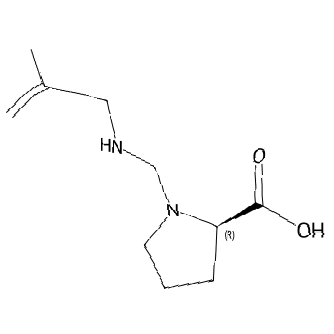 C=C(C)CNCN1CCC[C@@H]1C(=O)O